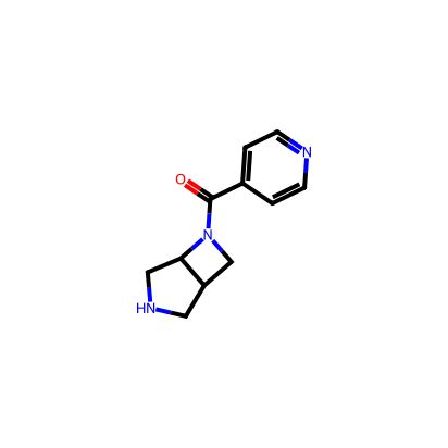 O=C(c1ccncc1)N1CC2CNCC21